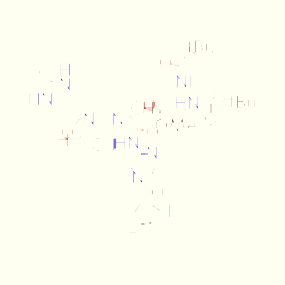 COC(=O)C(CNC(=O)OC(C)(C)C)CNC(=O)OC(C)(C)C.C[C@@H](C(=O)Nc1cnc(Oc2ccc(F)cc2F)cn1)N1CCN(C(=O)C2CNC(=O)NC2)C(C)(C)C1